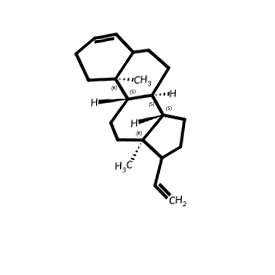 C=CC1CC[C@H]2[C@@H]3CCC4C=CCC[C@]4(C)[C@H]3CC[C@]12C